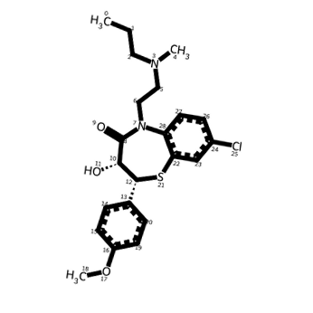 CCCN(C)CCN1C(=O)[C@@H](O)[C@@H](c2ccc(OC)cc2)Sc2cc(Cl)ccc21